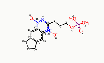 O=P(O)(O)OCCCc1n[n+]([O-])c2cc3c(cc2[n+]1[O-])CCC3